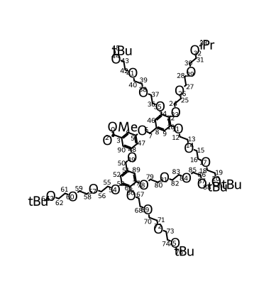 COC(=O)c1cc(OCc2cc(OCCOCCOCCOC(C)(C)C)c(OCCOCCOCCOC(C)C)c(OCCOCCOCCOC(C)(C)C)c2)cc(OCc2cc(OCCOCCOCCOC(C)(C)C)c(OCCOCCOCCOC(C)(C)C)c(OCCOCCOCCOC(C)(C)C)c2)c1